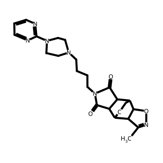 CC1=NOC2C3CCC(C12)C1C(=O)N(CCCCN2CCN(c4ncccn4)CC2)C(=O)C31